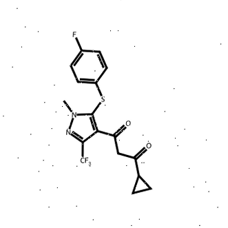 Cn1nc(C(F)(F)F)c(C(=O)CC(=O)C2CC2)c1Sc1ccc(F)cc1